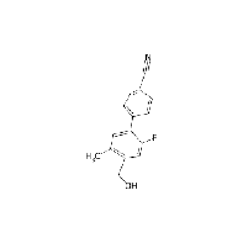 Cc1cc(-c2ccc(C#N)cc2)c(F)cc1CO